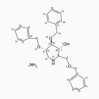 N.O[C@@H]1C(COCc2ccccc2)NC[C@H](OCc2ccccc2)[C@H]1OCc1ccccc1